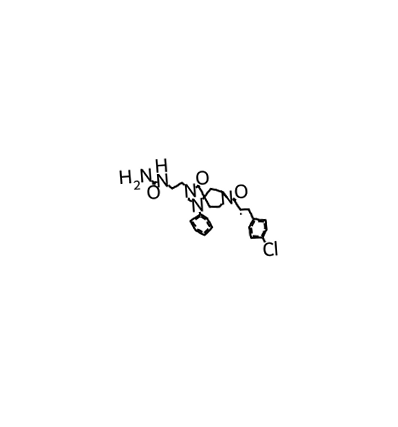 NC(=O)NCCN1CN(c2ccccc2)C2(CCN(C(=O)[CH]Cc3ccc(Cl)cc3)CC2)C1=O